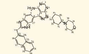 Nc1ncnc2c1c(-c1ccc3nc(Cc4ccc5ccccc5c4)[nH]c3c1)nn2[C@H]1CC[C@H](N2CCOCC2)CC1